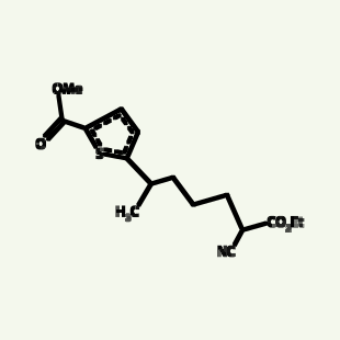 CCOC(=O)C(C#N)CCCC(C)c1ccc(C(=O)OC)s1